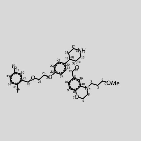 COCCCN1CCOc2ccc(CO[C@H]3CNCC[C@@H]3c3ccc(OCCOCc4cc(F)ccc4F)cc3)cc21